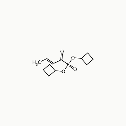 C/C=C/C(=O)P(=O)(OC1CCC1)OC1CCC1